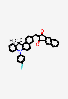 CC1(C)c2ccccc2N(c2ccc(F)cc2)c2ccc3cc(C=C4C(=O)c5cc6ccccc6cc5C4=O)ccc3c21